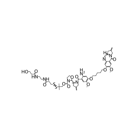 C=C1C[C@H]2C=Nc3cc(OCCCCCOc4cc(N)c(C(=O)N5CC(=C)C[C@H]5C5OCCN5C(=O)OCC(C)(C)SSCCC(=O)NCCNC(=O)CCO)cc4OC)c(OC)cc3C(=O)N2C1